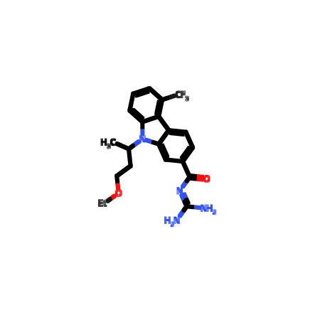 CCOCCC(C)n1c2cc(C(=O)N=C(N)N)ccc2c2c(C(F)(F)F)cccc21